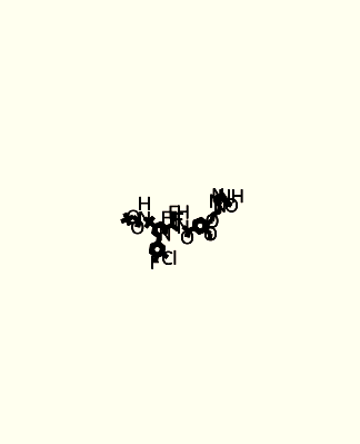 COc1cc(C(=O)NCC(c2cc(C(C)(C)NC(=O)OC(C)(C)C)cc(-c3ccc(F)c(Cl)c3)n2)C(F)(F)F)ccc1OCCn1nn[nH]c1=O